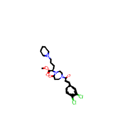 COC(=O)C(CCCN1CCCCC1)N1CCN(C(=O)/C=C/c2ccc(Cl)c(Cl)c2)CCC1=O